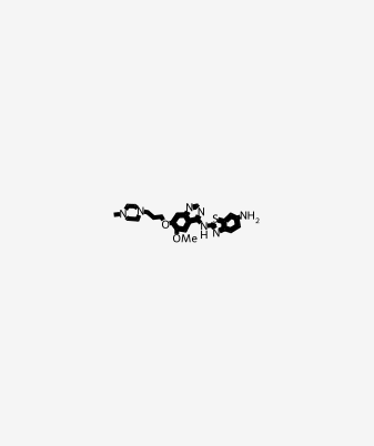 COc1cc2c(Nc3nc4ccc(N)cc4s3)ncnc2cc1OCCCN1CCN(C)CC1